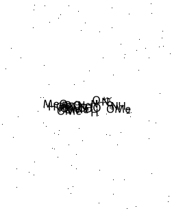 CNC(=O)C(=C\N(C=O)[C@H]1CCC(COP(OC)OP(OC)OP(O)OC)O1)/C=C/CNC(=O)CCCN1c2cc(OC)c(N)cc2C(C)=CC1(C)C